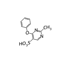 Cc1ncc(S(=O)(=O)O)c(Oc2ccccc2)n1